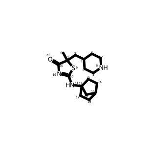 CC1(CC2CCNCC2)SC(NC23CCC(CC2)C3)=NC1=O